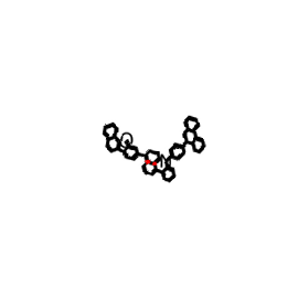 c1ccc(-c2ccccc2N(c2ccc(-c3ccc4c(c3)oc3c5ccccc5ccc43)cc2)c2ccc(-c3cc4ccccc4c4ccccc34)cc2)cc1